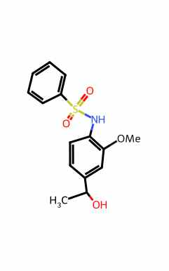 COc1cc(C(C)O)ccc1NS(=O)(=O)c1ccccc1